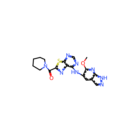 COc1nc2[nH]ncc2cc1Nc1ncnc2sc(C(=O)N3CCCCC3)nc12